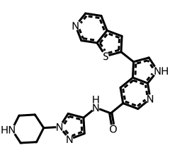 O=C(Nc1cnn(C2CCNCC2)c1)c1cnc2[nH]cc(-c3cc4ccncc4s3)c2c1